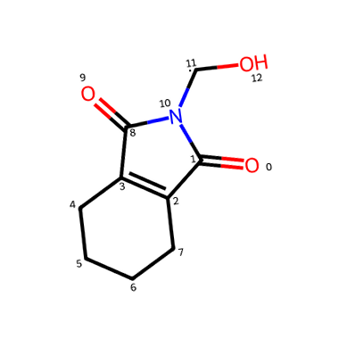 O=C1C2=C(CCCC2)C(=O)N1[CH]O